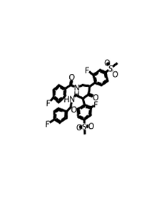 CS(=O)(=O)c1ccc(C(CNC(=O)c2ccc(F)cc2)C(=O)C(CNC(=O)c2ccc(F)cc2)c2ccc(S(C)(=O)=O)cc2F)c(F)c1